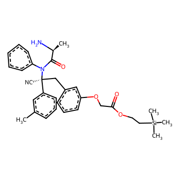 Cc1cccc([C@](C#N)(Cc2cccc(OCC(=O)OCC[Si](C)(C)C)c2)N(C(=O)[C@H](C)N)c2ccccc2)c1